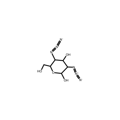 [N-]=[N+]=NC1C(O)OC(CO)C(N=[N+]=[N-])C1O